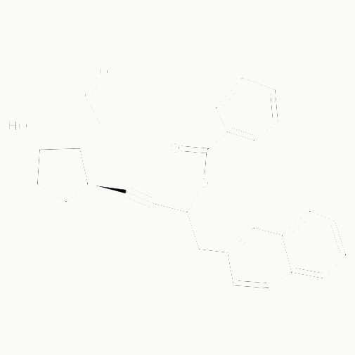 O=CC[C@H]1[C@@H](O)CC[C@@H]1C#CC(Cc1ccc2ccccc2c1)OC(=O)c1ccccc1